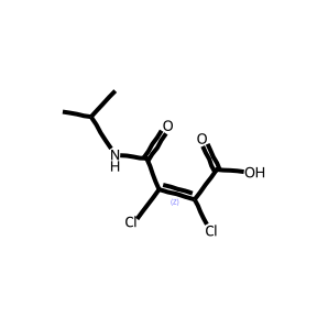 CC(C)NC(=O)/C(Cl)=C(/Cl)C(=O)O